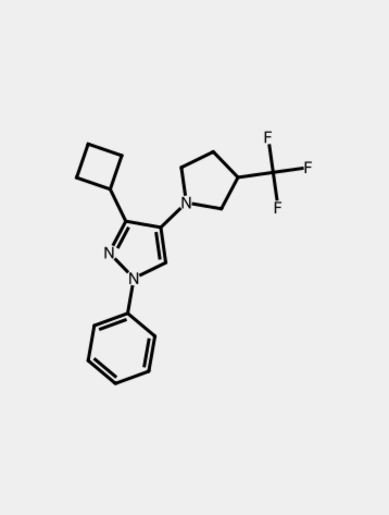 FC(F)(F)C1CCN(c2cn(-c3ccccc3)nc2C2CCC2)C1